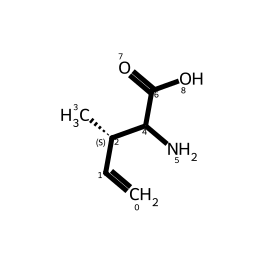 C=C[C@H](C)C(N)C(=O)O